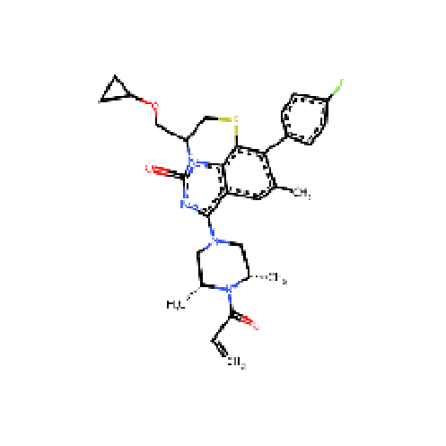 C=CC(=O)N1[C@H](C)CN(c2nc(=O)n3c4c(c(-c5ccc(F)cc5)c(C)cc24)SCC3COC2CC2)C[C@@H]1C